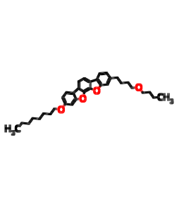 CCCCCCCCOc1ccc2c(c1)oc1c2ccc2c3ccc(CCCCOCCCC)cc3oc21